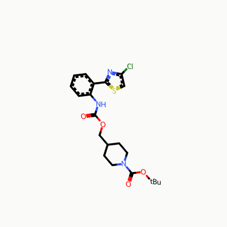 CC(C)(C)OC(=O)N1CCC(COC(=O)Nc2ccccc2-c2nc(Cl)cs2)CC1